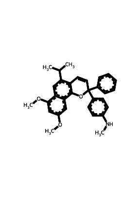 CNc1ccc(C2(c3ccccc3)C=Cc3c(C(C)C)cc4c(OC)cc(OC)cc4c3O2)cc1